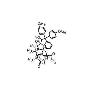 COc1ccc(C(c2ccccc2)(c2ccc(OC)cc2)C(O)[C@H]2O[C@@](CNC(=O)C(F)(F)F)(n3cc(C)c(=O)[nH]c3=O)C([SiH](C)C)[C@@]2(O)C(C)(C)C)cc1